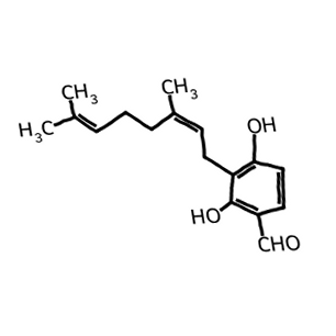 CC(C)=CCCC(C)=CCc1c(O)ccc(C=O)c1O